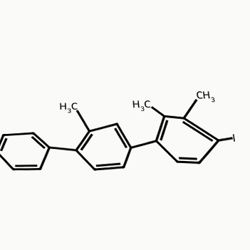 Cc1cc(-c2ccc(I)c(C)c2C)ccc1-c1ccccc1